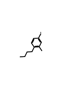 CCCCc1ccc(I)cc1C